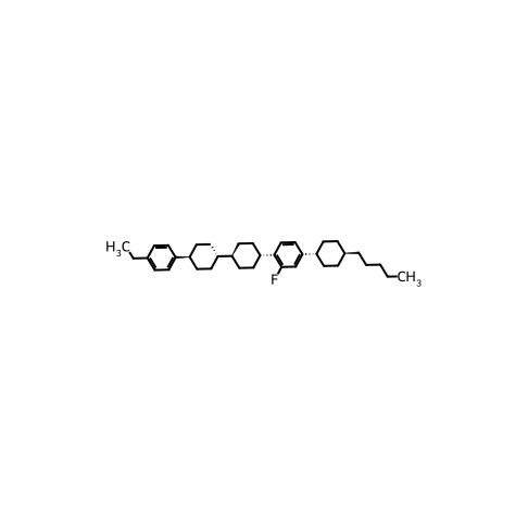 CCCCC[C@H]1CC[C@H](c2ccc([C@H]3CC[C@H]([C@H]4CC[C@H](c5ccc(CC)cc5)CC4)CC3)c(F)c2)CC1